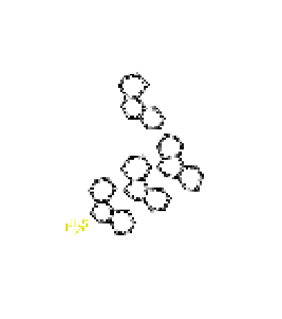 S.S.c1ccc2c(c1)ccc1ccccc12.c1ccc2c(c1)ccc1ccccc12.c1ccc2c(c1)ccc1ccccc12.c1ccc2c(c1)ccc1ccccc12